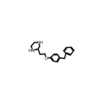 c1ccc(Cc2ccc(OCCC3CNCCN3)cc2)cc1